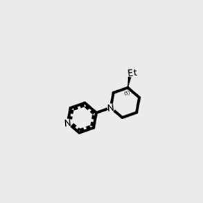 CC[C@H]1CCCN(c2ccncc2)C1